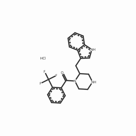 Cl.O=C(c1ccccc1C(F)(F)F)N1CCNCC1Cc1c[nH]c2ccccc12